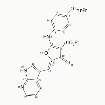 CCCOc1ccc(NC2=C(C(=O)OCC)C(=O)/C(=C/c3c[nH]c4ncccc34)O2)cc1